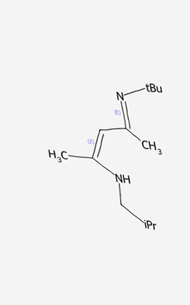 C/C(=C/C(C)=N/C(C)(C)C)NCC(C)C